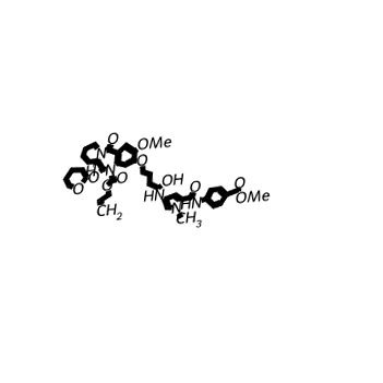 C=CCOC(=O)N1c2cc(OCCCC(O)Nc3cc(C(=O)Nc4ccc(C(=O)OC)cc4)n(C)c3)c(OC)cc2C(=O)N2CCCC[C@H]2C1OC1CCCCO1